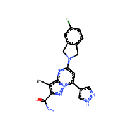 CC(C)c1c(C(N)=O)nn2c(-c3cn[nH]c3)cc(N3Cc4ccc(Cl)cc4C3)nc12